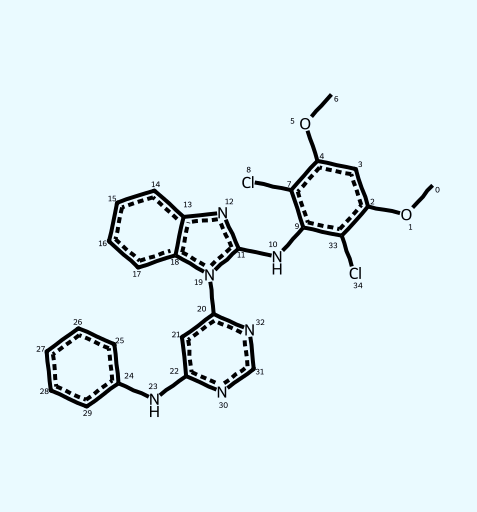 COc1cc(OC)c(Cl)c(Nc2nc3ccccc3n2-c2cc(Nc3ccccc3)ncn2)c1Cl